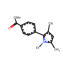 CCn1c(C)cc(C#N)c1-c1ccc(C(=O)OC)cc1